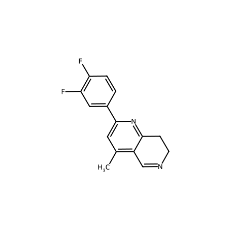 Cc1cc(-c2ccc(F)c(F)c2)nc2c1C=NCC2